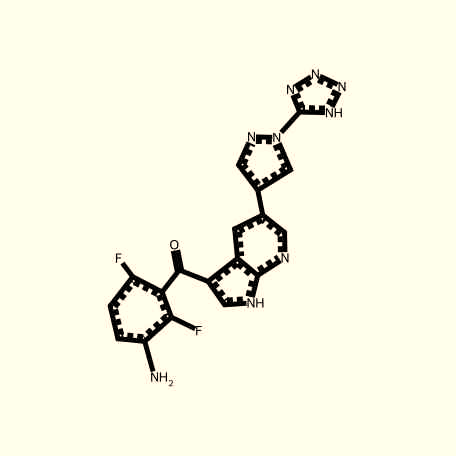 Nc1ccc(F)c(C(=O)c2c[nH]c3ncc(-c4cnn(-c5nnn[nH]5)c4)cc23)c1F